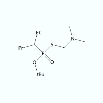 CCC(C(C)C)P(=O)(OC(C)(C)C)SCN(C)C